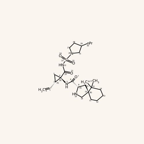 C=C[C@@H]1C[C@]1(NC(=O)[C@@H]1C[C@@]2(CCCCC2(C)C)CN1)C(=O)NS(=O)(=O)N1CCC(CCC)C1